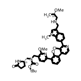 COc1nc(-c2cccc(-c3ccnc(-c4ccc5c(CNC[C@H](C)OC)cn(C)c5c4)c3Cl)c2Cl)ccc1CN(C[C@@H]1CCC(=O)N1)C(=O)OC(C)(C)C